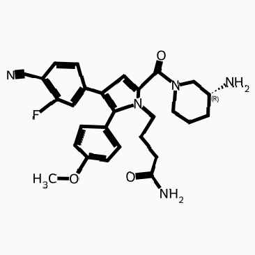 COc1ccc(-c2c(-c3ccc(C#N)c(F)c3)cc(C(=O)N3CCC[C@@H](N)C3)n2CCCC(N)=O)cc1